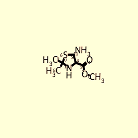 COC(=O)C1CSC(C)(C)N1.N